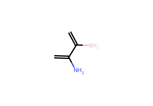 BC(=C)C(=C)N